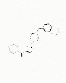 C[C@H](c1ccc2c(c1)OCCO2)N1CCN(c2ncc(C(=O)N3CCNCC3)s2)CC1